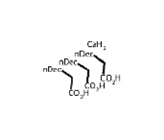 CCCCCCCCCCCC(=O)O.CCCCCCCCCCCC(=O)O.CCCCCCCCCCCC(=O)O.[CaH2]